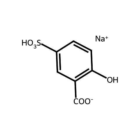 O=C([O-])c1cc(S(=O)(=O)O)ccc1O.[Na+]